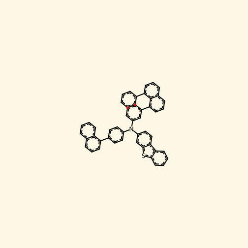 c1ccc(-c2cccc3cccc(-c4cccc(N(c5ccc(-c6cccc7ccccc67)cc5)c5ccc6c(c5)sc5ccccc56)c4)c23)cc1